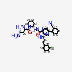 N#Cc1ccccc1-c1ccc(C(=O)NC[C@H]2CCCCN2C(=O)[C@H](N)CCN)c(NCCc2cccc(F)c2)n1